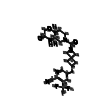 N#Cc1ncc(CC2CC3(C2)CN(C(=O)N2CC[C@@H]4OCC(=O)N[C@@H]4C2)C3)cc1C(F)(F)F